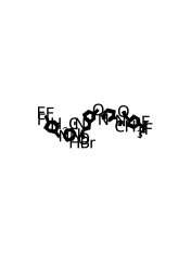 Br.CN(C(=O)c1ccc(C(F)(F)F)cc1)c1ccc(Oc2ccc3c(c2)cc(C(=O)N2CCN(Cc4ccc(C(F)(F)F)cc4)CC2)n3C)nc1